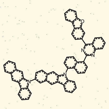 c1ccc2cc3c(cc2c1)c1ccccc1n3-c1ccc2cc3c(cc2c1)c1ccccc1n3-c1cccc2c(-c3nc(-c4ccc5c(c4)oc4ccccc45)c4ccccc4n3)cccc12